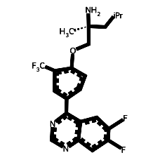 CC(C)C[C@](C)(N)COc1ccc(-c2ncnc3cc(F)c(F)cc23)cc1C(F)(F)F